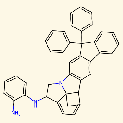 Nc1ccccc1NC1CN2c3cc4c(cc3C3C5=CC=C1C32C5)-c1ccccc1C4(c1ccccc1)c1ccccc1